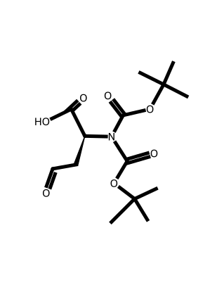 CC(C)(C)OC(=O)N(C(=O)OC(C)(C)C)[C@@H](CC=O)C(=O)O